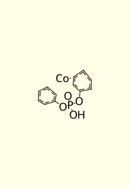 O=P(O)(Oc1ccccc1)Oc1ccccc1.[Co]